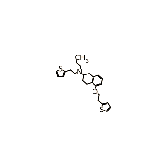 CCCN(CCc1cccs1)C1CCc2c(cccc2OCCc2cccs2)C1